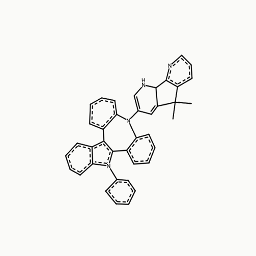 CC1(C)C2=CC(N3c4ccccc4-c4c(n(-c5ccccc5)c5ccccc45)-c4ccccc43)=CNC2c2ncccc21